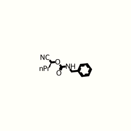 CCC[C@@H](C#N)OC(=O)NCc1ccccc1